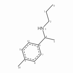 CCCNC(C)c1ccc(C)cc1